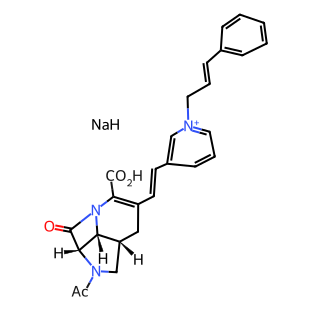 CC(=O)N1C[C@H]2CC(/C=C/c3ccc[n+](C/C=C/c4ccccc4)c3)=C(C(=O)O)N3C(=O)[C@@H]1[C@@H]23.[NaH]